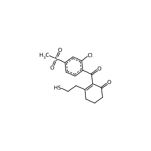 CS(=O)(=O)c1ccc(C(=O)C2=C(CCS)CCCC2=O)c(Cl)c1